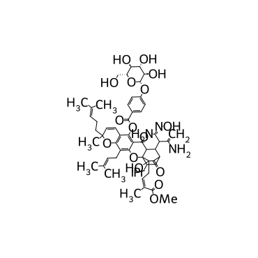 C=C(N)C(/C(N)=N\O)C1C2CC(C(C)C)C3(Oc4c(CC=C(C)C)c5c(c(OC(=O)c6ccc(O[C@@H]7O[C@H](CO)[C@@H](O)[C@H](O)[C@H]7O)cc6)c4C(=O)C13)C=CC(C)(CCC=C(C)C)O5)C(O)(C/C=C(/C)C(=O)OC)C2=O